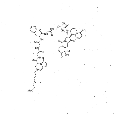 CC[C@@]1(O)C(=O)OCc2c1cc1n(c2=O)Cc2c-1nc1cc(F)c(C)c3c1c2[C@@H](NC(=O)C(C)(C)OCNC(=O)CNC(=O)[C@H](Cc1ccccc1)NC(=O)CNC(=O)CNC(=O)C(CNCCCOCCOC)N1C(=O)C=CC1=O)CC3